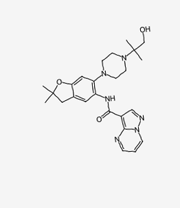 CC1(C)Cc2cc(NC(=O)c3cnn4cccnc34)c(N3CCN(C(C)(C)CO)CC3)cc2O1